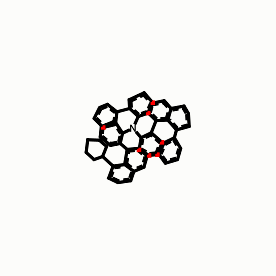 c1ccc(-c2ccccc2N(c2ccccc2-c2cccc3cccc(-c4ccccc4)c23)c2ccccc2-c2cccc3cccc(C4CCCCC4)c23)cc1